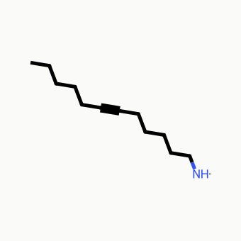 CCCCCC#CCCCCC[NH]